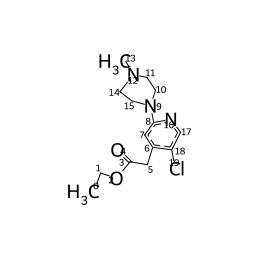 CCOC(=O)Cc1cc(N2CCN(C)CC2)ncc1Cl